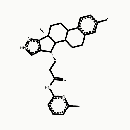 C[C@]12CCC3c4ccc(Cl)cc4CCC3C1[C@H](CCC(=O)Nc1cccc(F)n1)c1c[nH]nc12